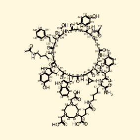 CC(=O)NCCCC[C@H]1C(=O)N[C@@H](Cc2c[nH]c3ccc(O)cc23)C(=O)N[C@@H](Cc2c[nH]c3ccccc23)C(=O)N[C@@H](C2CC2)C(=O)N(C)[C@H](C(=O)N(C)[C@@H](Cc2ccc(F)cc2)C(=O)N[C@@H](CCCCNC(=O)CCC(C(=O)O)N2CCN(CC(=O)O)CCN(CC(=O)O)CC2)C(N)=O)CNC(=O)CCC[C@H](NC(C)=O)C(=O)N[C@@H](Cc2ccc(O)cc2)C(=O)N[C@@H](CO)C(=O)N(C)[C@@H](CCc2ccccc2)C(=O)N1C